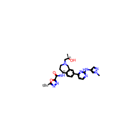 C[C@@H](O)CN1CC[C@@H](NC(=O)c2nnc(C(C)(C)C)o2)c2ccc(-c3ccnc(Nc4cnn(C)c4)n3)cc2C1